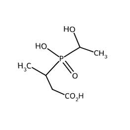 CC(O)P(=O)(O)C(C)CC(=O)O